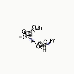 CC(/C=C/[C@H]1O[C@H](CNC(=O)CBr)C[C@@]2(CO2)[C@@H]1O)=C\C[C@@H]1O[C@H](C)[C@H](NC(=O)/C=C\C(C)C)C[C@@H]1C